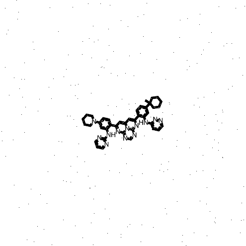 CC1(c2ccc(C3=CC4=CC(c5ccc(N6CCCCC6)cc5Nc5ncccn5)=NC5=NC=NC(=N3)N45)c(Nc3cccnn3)c2)CCCCC1